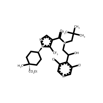 CCOC(=O)[C@]1(C)CC[C@@H](n2ncc(C(=O)N(CC(O)c3c(Cl)cncc3Cl)CC(C)(C)C(F)(F)F)c2C(F)(F)F)CC1